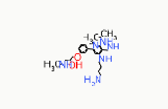 CNCC(O)COc1cccc(-c2cc(NCCCCN)c(C=N)c(NC(C)C)n2)c1